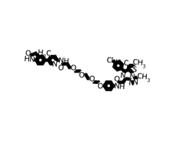 Cc1cc(NC(=O)CCOCCOCCOCCOc2ccc(NC(=O)CC3N=C(c4ccc(Cl)cc4)c4c(sc(C)c4C)-n4c(C)nnc43)cc2)ncc1-c1ccc2c(c1)CC(=O)N2